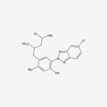 CCCCC(CC)CC(Cc1cc(-n2nc3ccc(Cl)cc3n2)c(O)cc1C(C)(C)C)C(=O)O